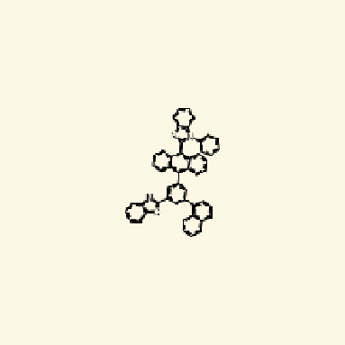 c1ccc(-n2c(-c3c4ccccc4c(-c4cc(-c5nc6ccccc6o5)cc(-c5cccc6ccccc56)c4)c4ccccc34)nc3ccccc32)cc1